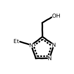 CCn1cnnc1CO